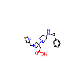 O=C(O)CC1(N2CCC(N[C@@H]3C[C@@H]3c3ccccc3)CC2)CN(Cc2cscn2)C1